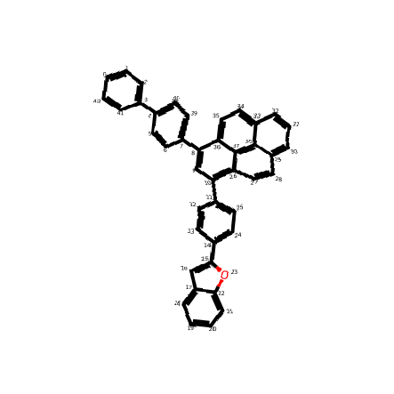 c1ccc(-c2ccc(-c3cc(-c4ccc(-c5cc6ccccc6o5)cc4)c4ccc5cccc6ccc3c4c65)cc2)cc1